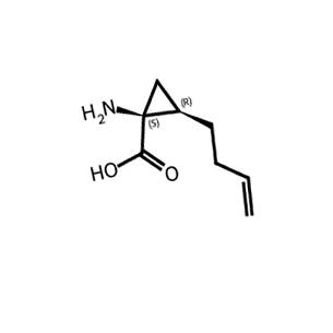 C=CCC[C@@H]1C[C@@]1(N)C(=O)O